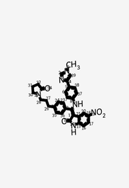 Cn1cnc(-c2ccc(NC(=C3C(=O)Nc4ccc([N+](=O)[O-])cc43)c3ccc(CCCN4CCCC4=O)cc3)cc2)c1